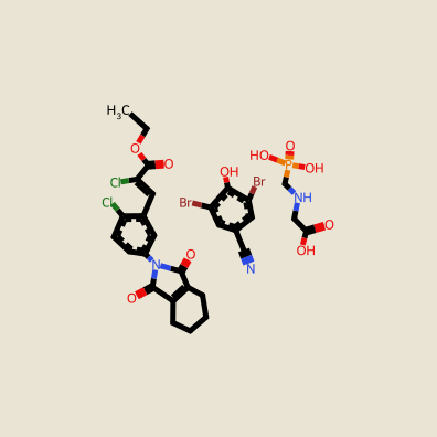 CCOC(=O)/C(Cl)=C/c1cc(N2C(=O)C3=C(CCCC3)C2=O)ccc1Cl.N#Cc1cc(Br)c(O)c(Br)c1.O=C(O)CNCP(=O)(O)O